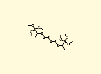 CO[Si](OC)(OC)C(C)SSSSSSC(C)[Si](OC)(OC)OC